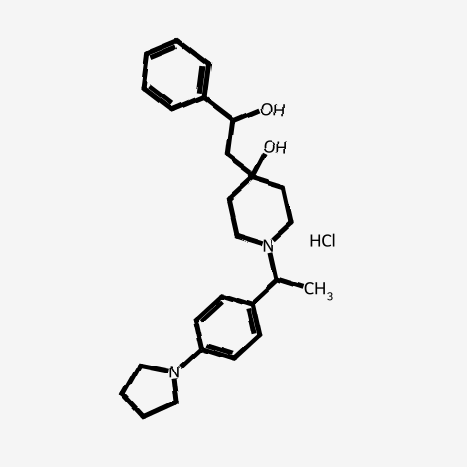 CC(c1ccc(N2CCCC2)cc1)N1CCC(O)(CC(O)c2ccccc2)CC1.Cl